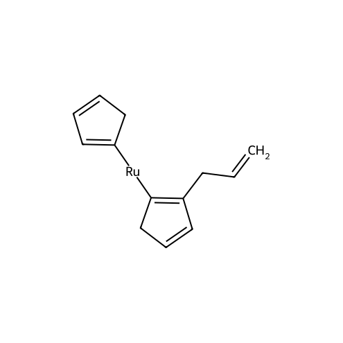 C=CCC1=[C]([Ru][C]2=CC=CC2)CC=C1